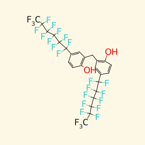 Oc1ccc(C(F)(F)C(F)(F)C(F)(F)C(F)(F)C(F)(F)C(F)(F)F)cc1Cc1cc(C(F)(F)C(F)(F)C(F)(F)C(F)(F)C(F)(F)C(F)(F)F)ccc1O